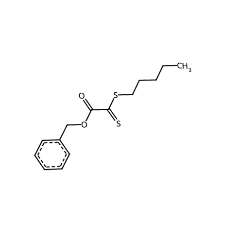 CCCCCSC(=S)C(=O)OCc1ccccc1